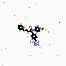 COc1ccc(N2C(=O)C(CCCc3ccccc3)C2c2ccc(C(=O)NN)cc2)cc1